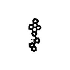 c1ccc2c(c1)C1CCCC3c4ccc(-c5cccc6c5oc5ccc7ccccc7c56)cc4C4CCCC2C4C13